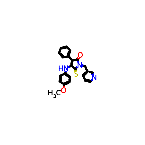 COc1ccc(NC2=C(c3ccccc3)C(=O)N(Cc3cccnc3)C2=S)cc1